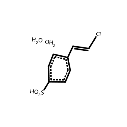 O.O.O=S(=O)(O)c1ccc(C=CCl)cc1